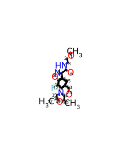 COCCNC(=O)c1noc2c(F)c(N3C[C@@H](C)O[C@@H](C)C3)c(C=O)cc12